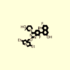 CCc1c(F)ccc2cc(O)cc(-c3c(F)cc4c(N5CCC[C@@](C)(O)C5)nc(OCC56CC(CC)CN5CC(CC)C6)nc4c3F)c12